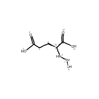 O=C(O)CC[C@H](NPO)C(=O)O